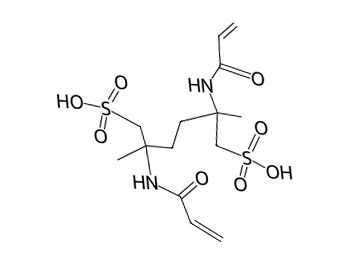 C=CC(=O)NC(C)(CCC(C)(CS(=O)(=O)O)NC(=O)C=C)CS(=O)(=O)O